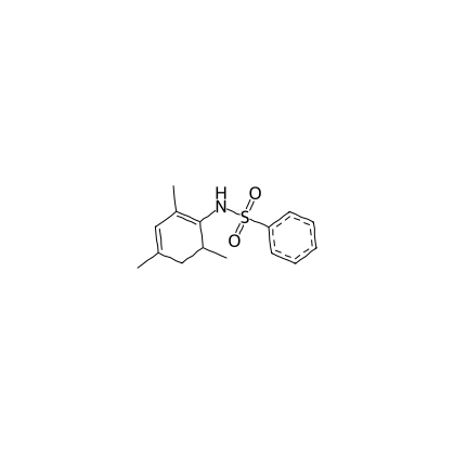 CC1=CC(C)=C(NS(=O)(=O)c2ccccc2)C(C)C1